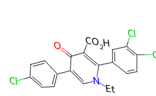 CCn1cc(-c2ccc(Cl)cc2)c(=O)c(C(=O)O)c1-c1ccc(Cl)c(Cl)c1